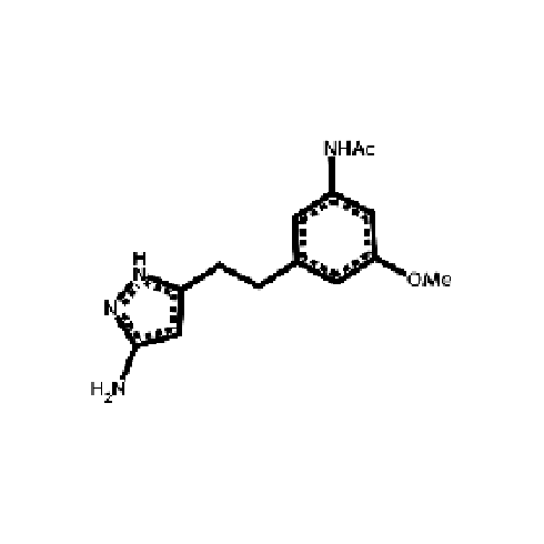 COc1cc(CCc2cc(N)n[nH]2)cc(NC(C)=O)c1